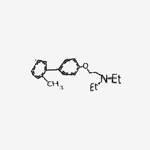 CCN(CC)CCOc1ccc(-c2c[c]ccc2C)cc1